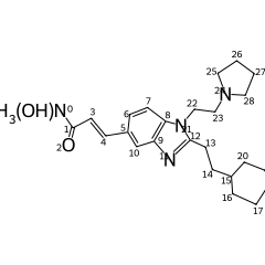 CN(O)C(=O)C=Cc1ccc2c(c1)nc(CCC1CCCCC1)n2CCN1CCCC1